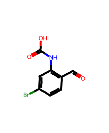 O=Cc1ccc(Br)cc1NC(=O)O